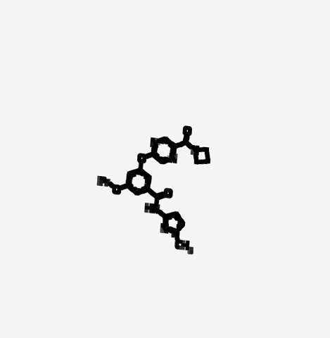 CC(C)Oc1cc(Oc2cnc(C(=O)N3CCC3)cn2)cc(C(=O)Nc2ccn(C)n2)c1